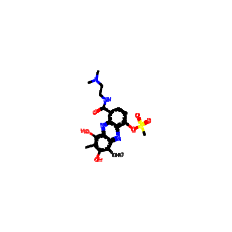 Cc1c(O)c(C=O)c2nc3c(OS(C)(=O)=O)ccc(C(=O)NCCN(C)C)c3nc2c1O